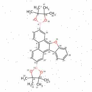 CC1(C)OB(c2ccc3c4ccc(B5OC(C)(C)C(C)(C)O5)cc4c4c5ccccc5oc4c3c2)OC1(C)C